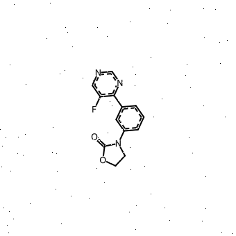 O=C1OCCN1c1cccc(-c2ncncc2F)c1